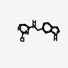 Clc1nccc(NCc2ccc3cc[nH]c3c2)n1